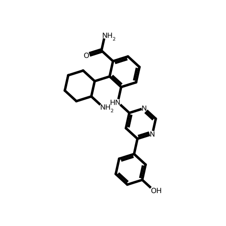 NC(=O)c1cccc(Nc2cc(-c3cccc(O)c3)ncn2)c1C1CCCCC1N